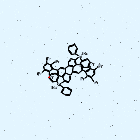 CC(C)c1cc(C(C)C)c(C(C)C)c(-c2cc3c([Si](c4ccccc4)(c4ccccc4)C(C)(C)C)ccc4c5cc(-c6c(C(C)C)c(C(C)C)cc(C(C)C)c6C(C)C)cc6c([Si](c7ccccc7)(c7ccccc7)C(C)(C)C)ccc(c(c2)c34)c65)c1C(C)C